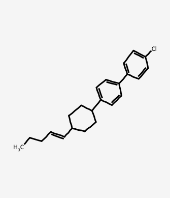 CCCC=CC1CCC(c2ccc(-c3ccc(Cl)cc3)cc2)CC1